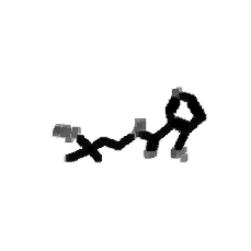 CC(C)(CCNC(=O)c1cnccc1C(F)(F)F)C(=O)O